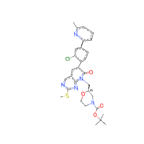 CSc1ncc2cc(-c3ccc(-c4cccc(C)n4)cc3Cl)c(=O)n(C[C@H]3CN(C(=O)OC(C)(C)C)CCO3)c2n1